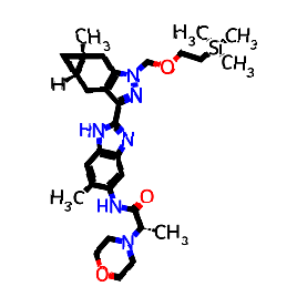 Cc1cc2[nH]c(-c3nn(COCC[Si](C)(C)C)c4c3C[C@@H]3C[C@]3(C)C4)nc2cc1NC(=O)[C@H](C)N1CCOCC1